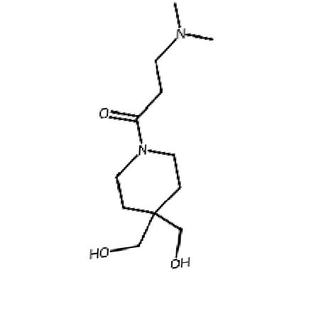 CN(C)CCC(=O)N1CCC(CO)(CO)CC1